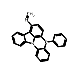 C=Nc1ccc2c3c1c1ccccc1n3-c1ccccc1B2c1ccccc1